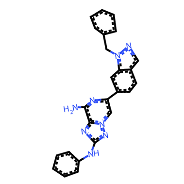 Nc1nc(-c2ccc3cnn(Cc4ccccc4)c3c2)cn2nc(Nc3ccccc3)nc12